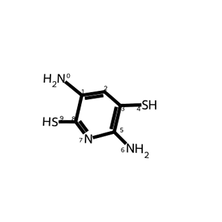 Nc1cc(S)c(N)nc1S